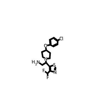 NCC(c1scnc1C(F)F)N1CCC(Oc2ccc(Cl)cc2)CC1